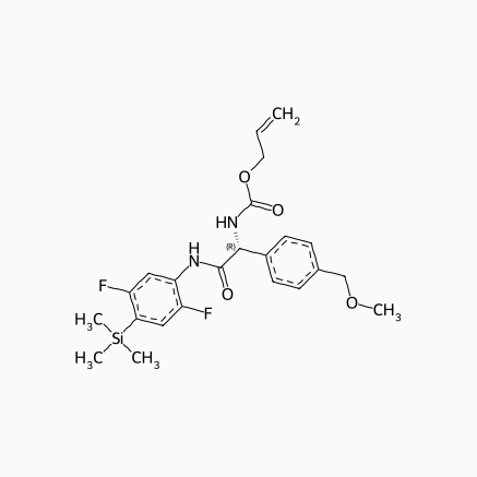 C=CCOC(=O)N[C@@H](C(=O)Nc1cc(F)c([Si](C)(C)C)cc1F)c1ccc(COC)cc1